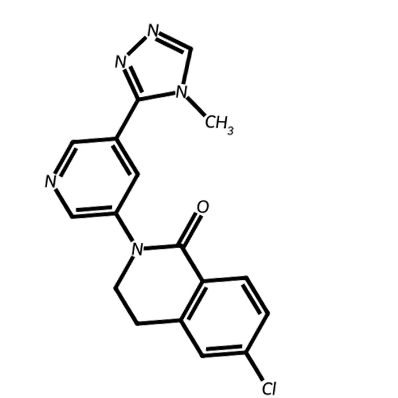 Cn1cnnc1-c1cncc(N2CCc3cc(Cl)ccc3C2=O)c1